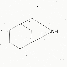 C1CC2CC(C1)C1NC1C2